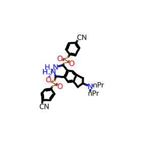 CCCN(CCC)C1Cc2cc(C(N)S(=O)(=O)c3ccc(C#N)cc3)c(C(N)S(=O)(=O)c3ccc(C#N)cc3)cc2C1